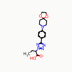 CCC(C(=O)O)n1nnc(-c2ccc(N3CCC4(CC3)OCCO4)cc2)n1